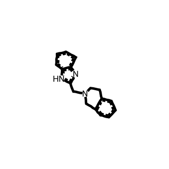 c1ccc2c(c1)CCN(Cc1nc3ccccc3[nH]1)C2